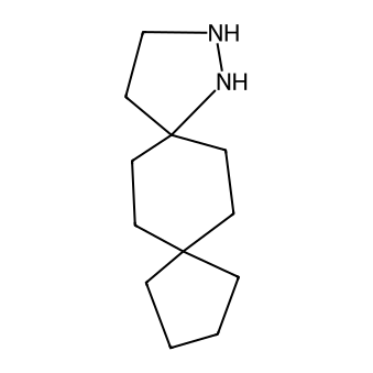 C1CCC2(C1)CCC1(CCNN1)CC2